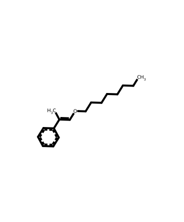 CCCCCCCCO/C=C(\C)c1ccccc1